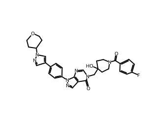 O=C(c1ccc(F)cc1)N1CCC(O)(Cn2cnc3c(cnn3-c3ccc(-c4cnn(C5CCOCC5)c4)cc3)c2=O)CC1